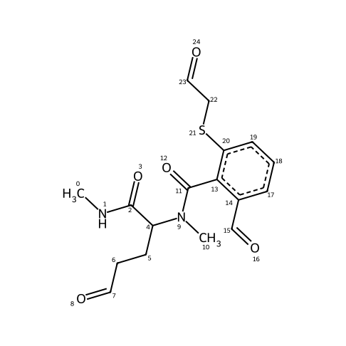 CNC(=O)C(CCC=O)N(C)C(=O)c1c(C=O)cccc1SCC=O